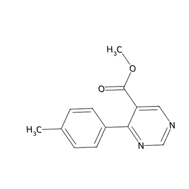 COC(=O)c1cncnc1-c1ccc(C)cc1